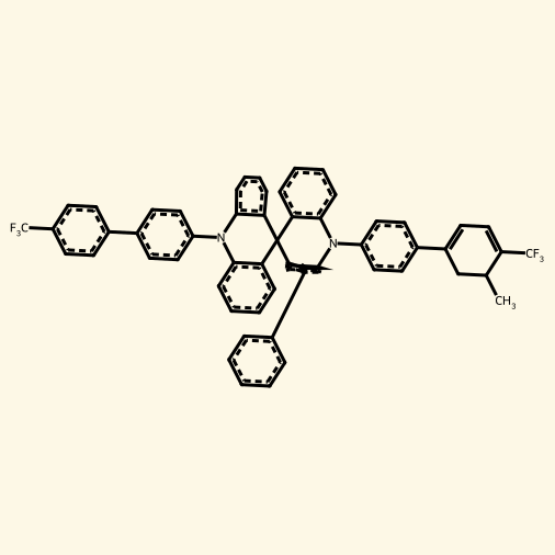 CC1CC(c2ccc(N3c4ccccc4C4(c5ccccc5N(c5ccc(-c6ccc(C(F)(F)F)cc6)cc5)c5ccccc54)c4cc(-c5ccccc5)ccc43)cc2)=CC=C1C(F)(F)F